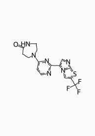 O=C1CCN(c2ccnc(-c3cnc4sc(C(F)(F)F)cn34)n2)CCN1